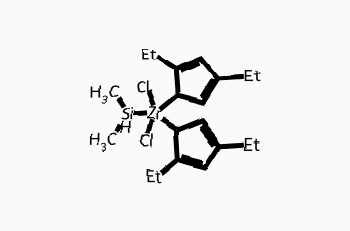 CCC1=C[CH]([Zr]([Cl])([Cl])([CH]2C=C(CC)C=C2CC)[SiH](C)C)C(CC)=C1